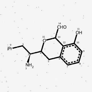 CC(C)C[C@H](N)C1Cc2cccc(O)c2C(C=O)O1